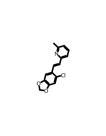 Cc1cccc(/C=C/c2cc3c(cc2Cl)OCO3)n1